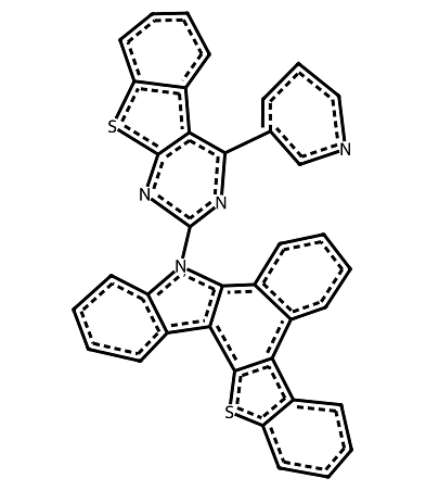 c1cncc(-c2nc(-n3c4ccccc4c4c5sc6ccccc6c5c5ccccc5c43)nc3sc4ccccc4c23)c1